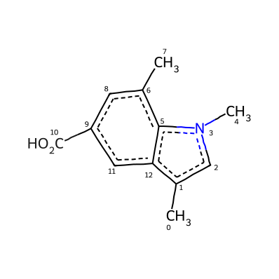 Cc1cn(C)c2c(C)cc(C(=O)O)cc12